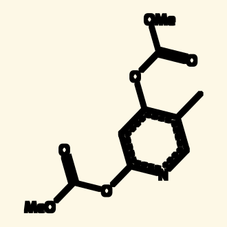 COC(=O)Oc1cc(OC(=O)OC)c(C)cn1